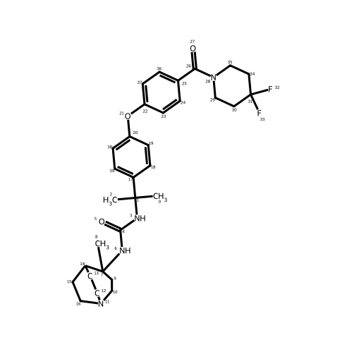 CC(C)(NC(=O)NC1(C)CCN2CCC1CC2)c1ccc(Oc2ccc(C(=O)N3CCC(F)(F)CC3)cc2)cc1